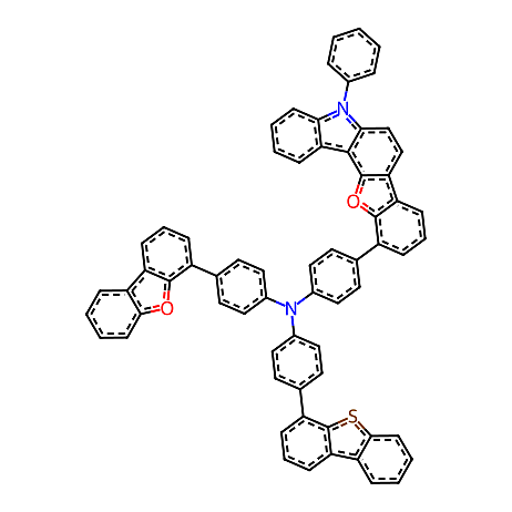 c1ccc(-n2c3ccccc3c3c4oc5c(-c6ccc(N(c7ccc(-c8cccc9c8oc8ccccc89)cc7)c7ccc(-c8cccc9c8sc8ccccc89)cc7)cc6)cccc5c4ccc32)cc1